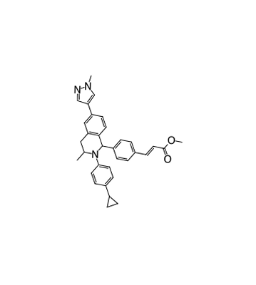 COC(=O)/C=C/c1ccc(C2c3ccc(-c4cnn(C)c4)cc3CC(C)N2c2ccc(C3CC3)cc2)cc1